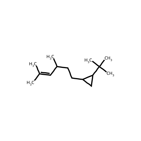 CC(C)=CC(C)CCC1CC1C(C)(C)C